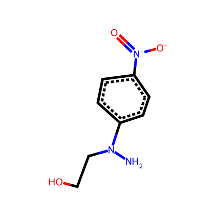 NN(CCO)c1ccc([N+](=O)[O-])cc1